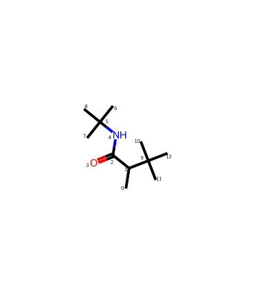 CC(C(=O)NC(C)(C)C)C(C)(C)C